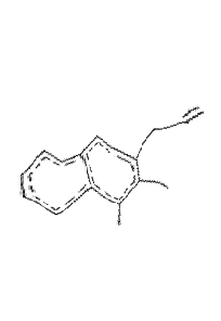 C=CCc1cc2ccccc2c(C)c1C